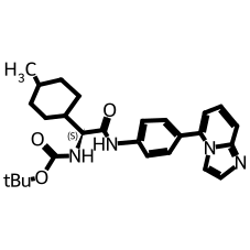 CC1CCC([C@H](NC(=O)OC(C)(C)C)C(=O)Nc2ccc(-c3cccc4nccn34)cc2)CC1